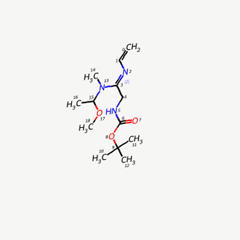 C=C/N=C(/CNC(=O)OC(C)(C)C)N(C)C(C)OC